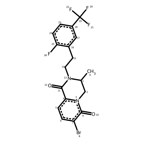 CC1Cn2c(ccc(Br)c2=O)C(=O)N1CCc1cc(C(F)(F)F)ccc1F